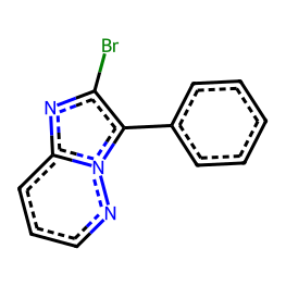 Brc1nc2cccnn2c1-c1ccccc1